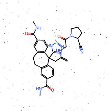 C=C(CC1(c2nnn[nH]2)c2ccc(C(=O)NC)cc2CCc2cc(C(=O)NC)ccc21)NCC(=O)N1CCCC1C#N